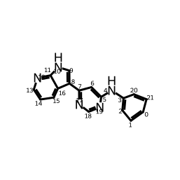 c1ccc(Nc2cc(-c3c[nH]c4ncccc34)ncn2)cc1